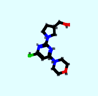 OC[C@@H]1CCN(c2nc(Cl)cc(N3CCOCC3)n2)C1